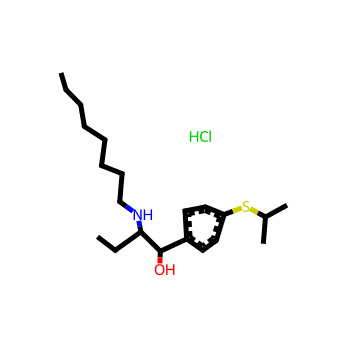 CCCCCCCCNC(CC)C(O)c1ccc(SC(C)C)cc1.Cl